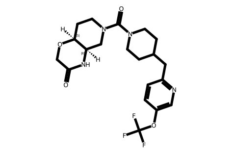 O=C1CO[C@H]2CCN(C(=O)N3CCC(Cc4ccc(OC(F)(F)F)cn4)CC3)C[C@H]2N1